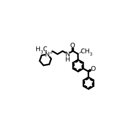 C[C@@H](C(=O)NCCC[N+]1(C)CCCCC1)c1cccc(C(=O)c2ccccc2)c1